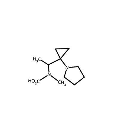 CC(N(C)C(=O)O)C1(N2CCCC2)CC1